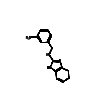 Nc1cccc(CNc2nc3c([nH]2)C=CCC3)c1